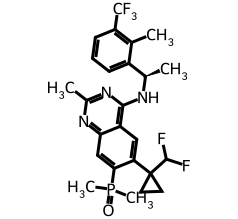 Cc1nc(N[C@H](C)c2cccc(C(F)(F)F)c2C)c2cc(C3(C(F)F)CC3)c(P(C)(C)=O)cc2n1